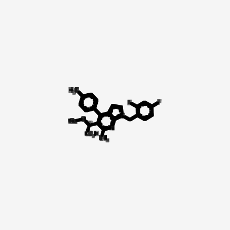 Cc1ccc(-c2c([C@H](OC(C)(C)C)C(=O)O)c(C)nc3c2ccn3Cc2ccc(F)cc2F)cc1